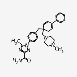 Cc1nc(C(N)=O)nn1-c1ccc(CC2(CN3CCN(C)CC3)C=CC(c3ccccc3)=CC2)cc1